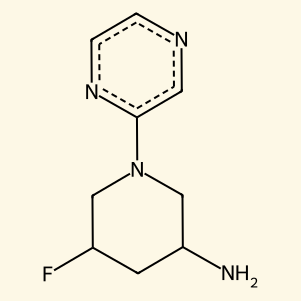 NC1CC(F)CN(c2cnccn2)C1